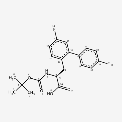 CC(C)(C)OC(=O)N[C@@H](Cc1ccc(F)cc1-c1ccc(F)cc1)C(=O)O